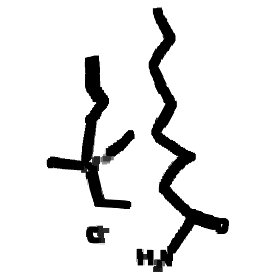 C=CC[N+](C)(C)CC.CCCCCCCC(N)=O.[Cl-]